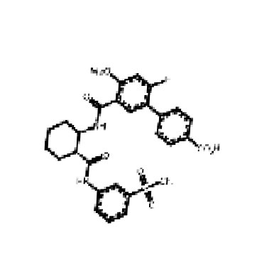 COc1cc(F)c(-c2ccc(C(=O)O)cc2)cc1C(=O)N[C@@H]1CCCC[C@@H]1C(=O)Nc1cccc(S(=O)(=O)C(F)(F)F)c1